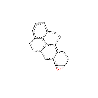 c1cc2ccc3cc4c(ccc5oc54)c4ccc(c1)c2c34